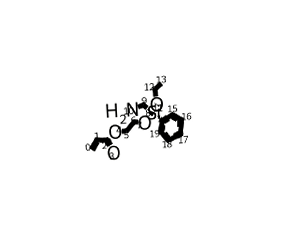 C=CC(=O)OCCO[Si](CN)(OCC)c1ccccc1